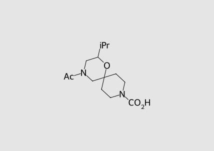 CC(=O)N1CC(C(C)C)OC2(CCN(C(=O)O)CC2)C1